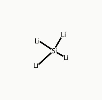 [Li][Si]([Li])([Li])[Li]